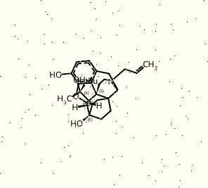 C=CCN1CC[C@]23c4c5ccc(O)c4O[C@H]2[C@@]2(O)CCC3(C[C@H]2[C@](C)(O)C(C)(C)C)C1C5